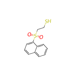 O=S(=O)(CCS)c1cccc2ccccc12